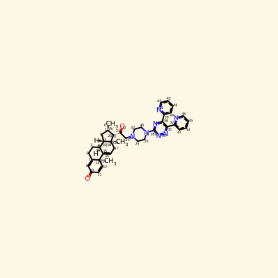 C[C@@H]1C[C@H]2[C@@H]3CCC4=CC(=O)C=C[C@]4(C)C3=CC[C@]2(C)[C@H]1C(=O)CN1CCN(c2nnc(-c3ccccn3)c(-c3ccccn3)n2)CC1